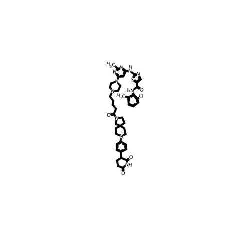 Cc1nc(Nc2ncc(C(=O)Nc3c(C)cccc3Cl)s2)cc(N2CCN(CCCCC(=O)N3CCC4(CCN(c5ccc(C6CCC(=O)NC6=O)cc5)CC4)C3)CC2)n1